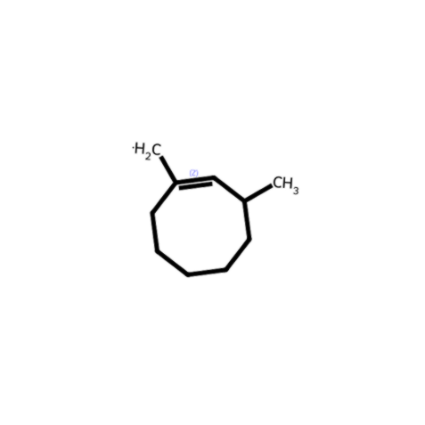 [CH2]/C1=C/C(C)CCCCC1